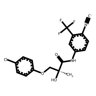 [C-]#[N+]c1ccc(NC(=O)[C@@](C)(O)COc2ccc(Cl)cc2)cc1C(F)(F)F